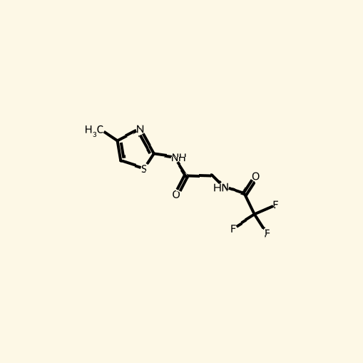 Cc1csc(NC(=O)CNC(=O)C(F)(F)F)n1